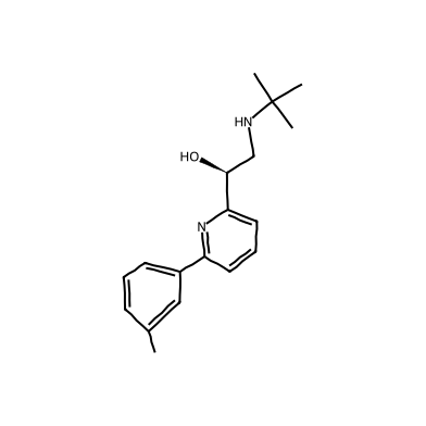 Cc1cccc(-c2cccc([C@@H](O)CNC(C)(C)C)n2)c1